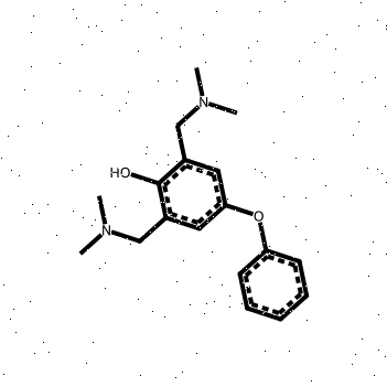 CN(C)Cc1cc(Oc2ccccc2)cc(CN(C)C)c1O